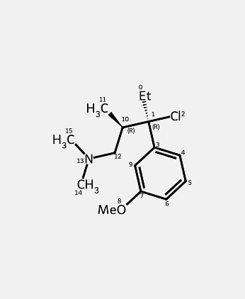 CC[C@](Cl)(c1cccc(OC)c1)[C@H](C)CN(C)C